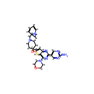 Nc1ncc(-c2nc(N3CCOCC3)c3sc(C4(O)CCN(CC56C=CC=CN5C6)CC4)cc3n2)cn1